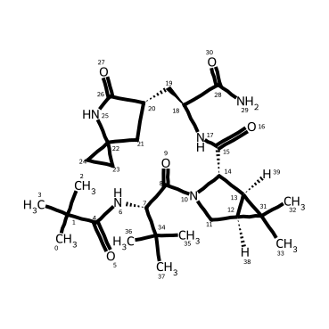 CC(C)(C)C(=O)N[C@H](C(=O)N1C[C@H]2[C@@H]([C@H]1C(=O)N[C@@H](C[C@@H]1CC3(CC3)NC1=O)C(N)=O)C2(C)C)C(C)(C)C